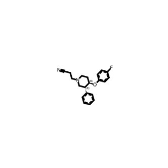 N#CCCN1CC[C@@H](Oc2ccc(F)cc2)[C@H](c2ccccc2)C1